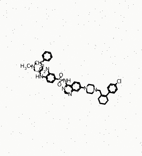 CN(C)C[C@H](CSc1ccccc1)Nc1ccc(S(=O)(=O)Nc2ncnc3cc(N4CCN(CC5=C(c6ccc(Cl)cc6)CCCC5)CC4)ccc23)cc1[N+](=O)[O-]